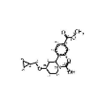 COC(=O)c1ccc(C2CC(OCC3CC3)CCN2C(=O)O)cc1